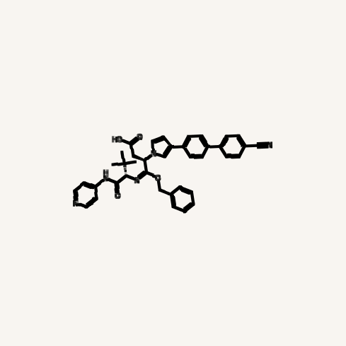 CC(C)(C)[C@H](N=C(OCc1ccccc1)[C@@H](CC(=O)O)n1ccc(-c2ccc(-c3ccc(C#N)cc3)cc2)c1)C(=O)Nc1ccncc1